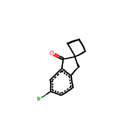 O=C1c2cc(Br)ccc2CC12CCC2